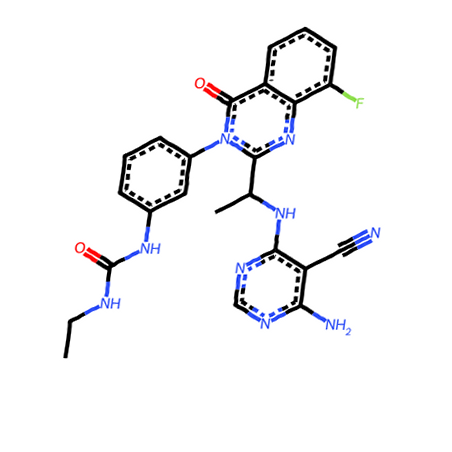 CCNC(=O)Nc1cccc(-n2c(C(C)Nc3ncnc(N)c3C#N)nc3c(F)cccc3c2=O)c1